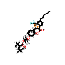 CCCCCc1ccc(-c2cc3ccc(OC(C)(C)C(C)(C)OC(=O)C(CC(C)(C)C)C(C)(C)C)cc3oc2=O)c(C(F)(F)P)c1